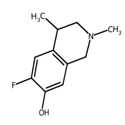 CC1CN(C)Cc2cc(O)c(F)cc21